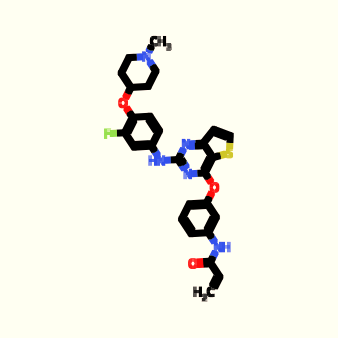 C=CC(=O)Nc1cccc(Oc2nc(Nc3ccc(OC4CCN(C)CC4)c(F)c3)nc3ccsc23)c1